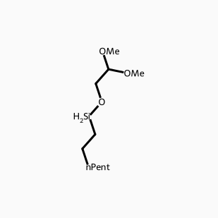 CCCCCCC[SiH2]OCC(OC)OC